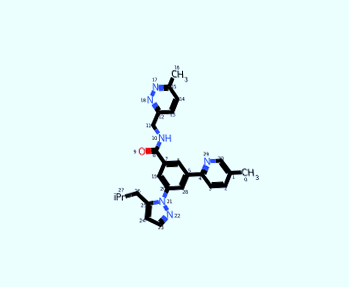 Cc1ccc(-c2cc(C(=O)NCc3ccc(C)nn3)cc(-n3nccc3CC(C)C)c2)nc1